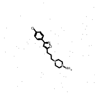 NN1CCN(CCCc2cc(-c3ccc(Cl)cc3)no2)CC1